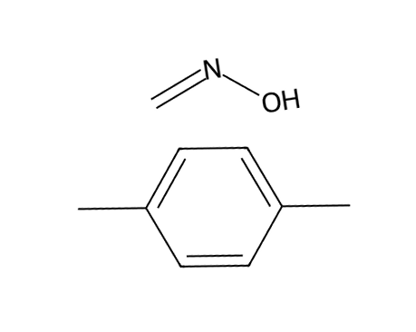 C=NO.Cc1ccc(C)cc1